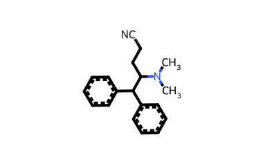 CN(C)C(CCC#N)C(c1ccccc1)c1ccccc1